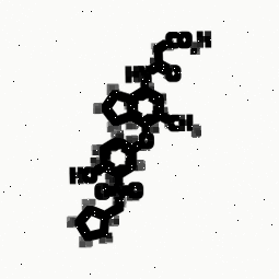 Cc1cc(NC(=O)CC(=O)O)c2c(c1Oc1ccc(O)c(S(=O)(=O)CC3CCCC3)c1)CCC2